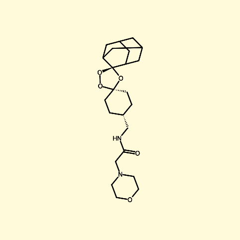 O=C(CN1CCOCC1)NC[C@H]1CC[C@]2(CC1)OO[C@]1(O2)C2CC3CC(C2)CC1C3